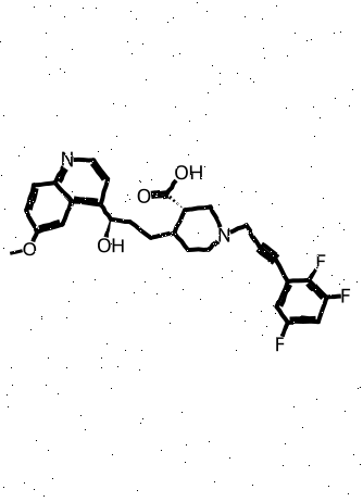 COc1ccc2nccc([C@H](O)CCC3CCN(CC#Cc4cc(F)cc(F)c4F)C[C@H]3C(=O)O)c2c1